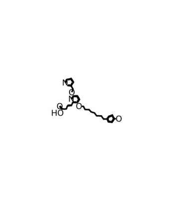 COc1ccc(CCCCCCCCOc2ccc(OCc3cccnc3)nc2C=CCC(=O)O)cc1